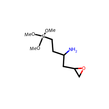 CO[Si](CCC(N)CC1CO1)(OC)OC